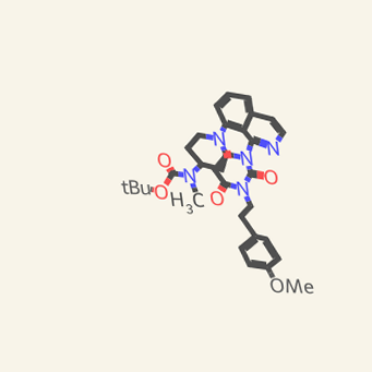 COc1ccc(CCN2C(=O)CCN(c3nccc4cccc(N5CCC(N(C)C(=O)OC(C)(C)C)CC5)c34)C2=O)cc1